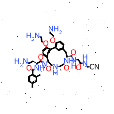 Cc1ccc(C(=O)N[C@@H](CCN)C(=O)N(C)[C@@H]2C(=O)N[C@@H](C)C(=O)N[C@H](C(=O)NCC(=O)NCC#N)Cc3ccc(OCCN)c(c3)-c3cc2ccc3OCCN)c(C)c1